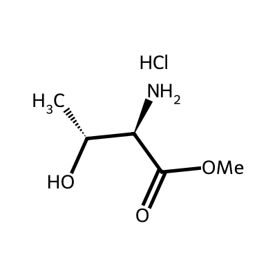 COC(=O)[C@H](N)[C@@H](C)O.Cl